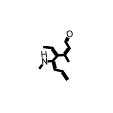 C=C\C=C(NC)/C(=C\C)C(/C)=C\C=O